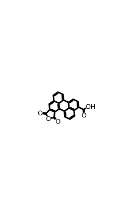 O=C(O)c1ccc2c3cccc4cc5c(=O)oc(=O)c5c(c5cccc1c25)c43